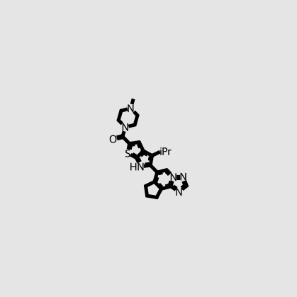 CC(C)c1c(-c2cn3ncnc3c3c2CCC3)[nH]c2sc(C(=O)N3CCN(C)CC3)cc12